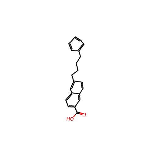 O=C(O)c1ccc2cc(CCCCc3ccccc3)ccc2c1